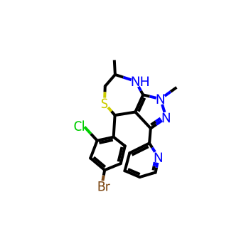 CC1CSC(c2ccc(Br)cc2Cl)c2c(-c3ccccn3)nn(C)c2N1